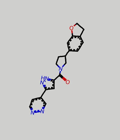 O=C(c1cc(-c2ccnnc2)n[nH]1)N1CCC(c2ccc3c(c2)OCC3)C1